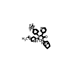 CO[C@H]1CN[C@@H](C(=O)N(c2ccc(S(F)(F)(F)(F)F)cc2)C(C(=O)NC2CC3CCC(C2)O3)c2cccnc2)C1